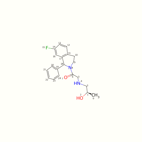 C[C@@H](O)CNCC(=O)N1CCc2ccc(F)cc2C1c1ccccc1